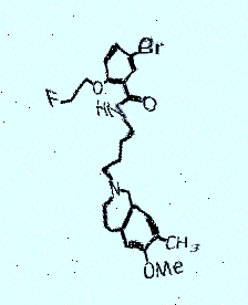 COc1cc2c(cc1C)CN(CCCCNC(=O)c1cc(Br)ccc1OCCF)CC2